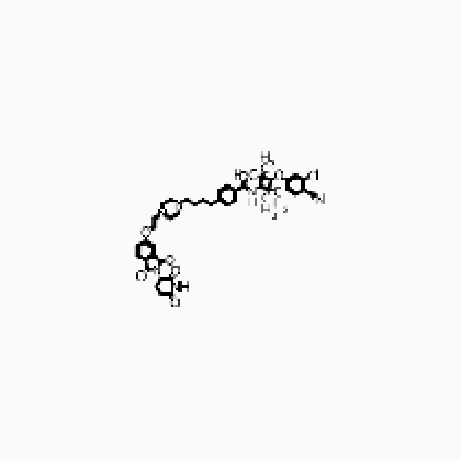 CC1(C)[C@H](NC(=O)c2ccc(CCCCN3CCN(CCOc4ccc5c(c4)C(=O)N([C@H]4CCC(=O)NC4=O)C5=O)CC3)cc2)C(C)(C)[C@H]1Oc1ccc(C#N)c(Cl)c1